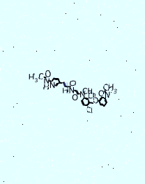 CC(=O)Nc1ccc(/C=C/C(=O)NCC(=O)N(C)c2ccc(Cl)c(COc3cccc4nc(C)oc34)c2Cl)cn1